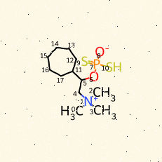 C[N+](C)(C)CC(OP([O-])(=S)S)C1CCCCCC1